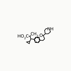 CC(C(=O)O)C(c1ccc2c(c1)OC(C1CCNCC1)CC2)C1CC1